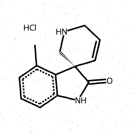 Cc1cccc2c1[C@@]1(C=CCNC1)C(=O)N2.Cl